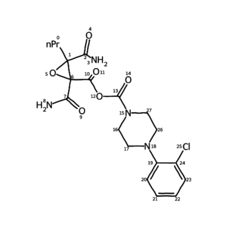 CCCC1(C(N)=O)OC1(C(N)=O)C(=O)OC(=O)N1CCN(c2ccccc2Cl)CC1